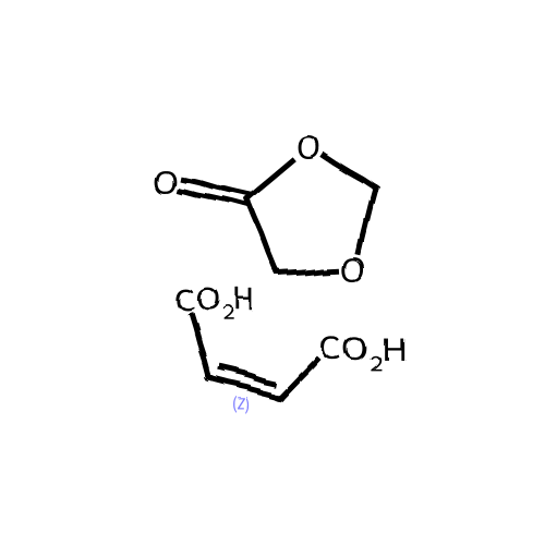 O=C(O)/C=C\C(=O)O.O=C1COCO1